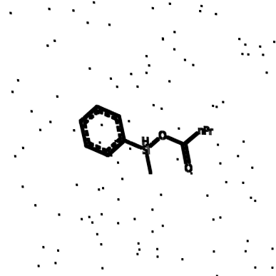 CCCC(=O)O[SiH](C)c1ccccc1